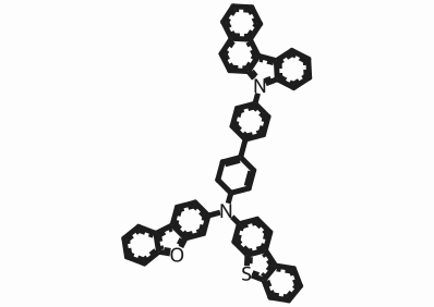 C1=CC(N(c2ccc3c(c2)oc2ccccc23)c2ccc3c(c2)sc2ccccc23)CC=C1c1ccc(-n2c3ccccc3c3c4ccccc4ccc32)cc1